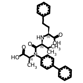 CC(C)[C@H](N[C@@H](CCc1ccccc1)C(=O)O)C(=O)N(c1ccc(-c2ccccc2)cc1)[C@@H](C)C(=O)O